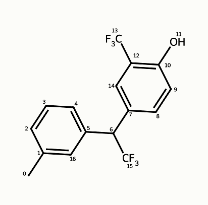 Cc1cccc(C(c2ccc(O)c(C(F)(F)F)c2)C(F)(F)F)c1